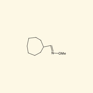 CON=CC1CCCCCCC1